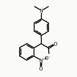 CC(=O)C(c1ccc(N(C)C)cc1)c1ccccc1[N+](=O)[O-]